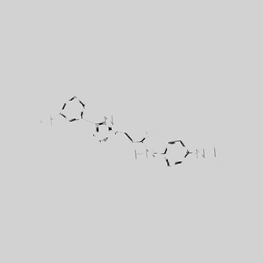 Nc1ccc(NC(=O)C=Cn2cnc(-c3cccc(Cl)c3)n2)cc1